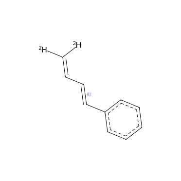 [2H]C([2H])=C/C=C/c1ccccc1